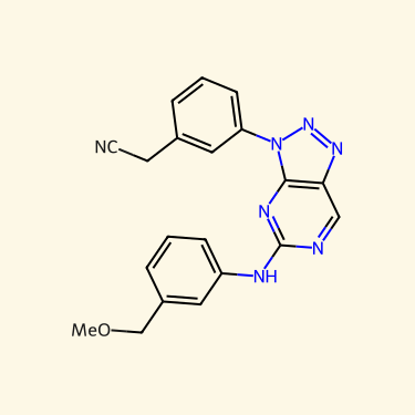 COCc1cccc(Nc2ncc3nnn(-c4cccc(CC#N)c4)c3n2)c1